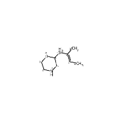 CC=C(C)[SiH2]C1CNCCO1